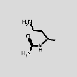 CC(CCN)NC(N)=O